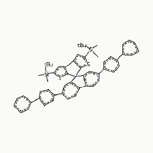 CC(C)(C)[Si](C)(C)c1cc2c(s1)C1(c3cc(-c4ccc(-c5ccccc5)cc4)ccc3-c3ccc(-c4ccc(-c5ccccc5)cc4)cc31)c1sc([Si](C)(C)C(C)(C)C)cc1-2